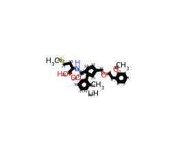 COc1ccccc1CCOCc1ccc(C(=O)NC(CCSC)C(=O)O)c(-c2ccccc2C)c1.[LiH]